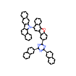 c1ccc2cc(-c3nc(-c4ccc5ccccc5c4)nc(-c4ccc5oc6c7ccccc7c(-n7c8cc9ccccc9cc8c8ccc9ccccc9c87)cc6c5c4)n3)ccc2c1